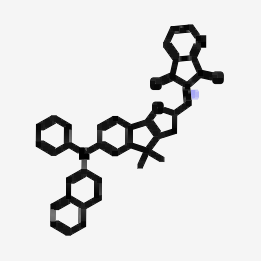 CC1(C)C2=C(OC(/C=C3\C(=O)c4cccnc4C3=O)C2)c2ccc(N(c3ccccc3)c3ccc4ccccc4c3)cc21